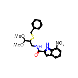 COC(OC)C(CNC(=O)c1cc2cccc([N+](=O)[O-])c2[nH]1)SCc1ccccc1